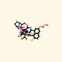 COCOc1cc(-c2nc3c4c(nc([S+](C)[O-])nc4c2F)N2CC4CCC(C2CO3)N4C(=O)OC(C)(C)C)c2c(C#C[Si](C(C)C)(C(C)C)C(C)C)c(F)ccc2c1